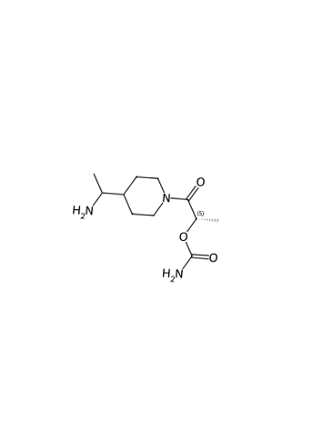 CC(N)C1CCN(C(=O)[C@H](C)OC(N)=O)CC1